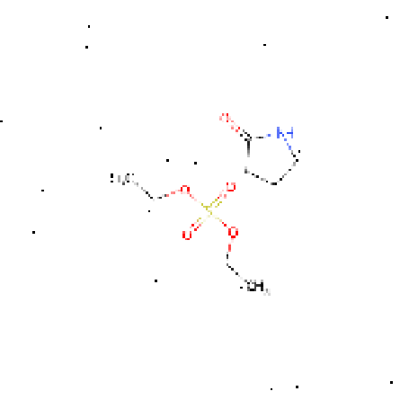 CCOS(=O)(=O)OCC.O=C1CCCN1